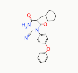 N#CCN(C(=O)C(CC1CCCCC1)C(N)=O)c1ccc(Oc2ccccc2)cc1